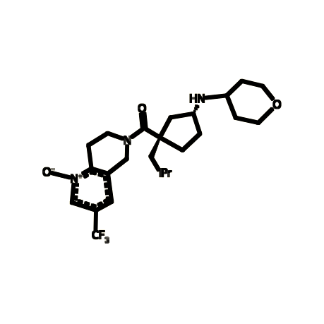 CC(C)C[C@]1(C(=O)N2CCc3c(cc(C(F)(F)F)c[n+]3[O-])C2)CC[C@@H](NC2CCOCC2)C1